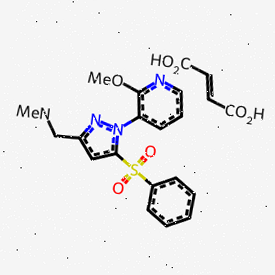 CNCc1cc(S(=O)(=O)c2ccccc2)n(-c2cccnc2OC)n1.O=C(O)C=CC(=O)O